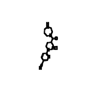 Cl.N#Cc1ccc(N2CCC(C(=O)N3CCCNCC3)CC2)nc1